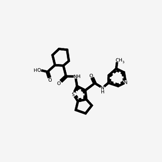 Cc1cncc(NC(=O)c2c(NC(=O)C3CCCCC3C(=O)O)sc3c2CCC3)c1